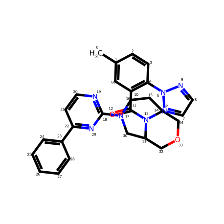 Cc1ccc(-n2nccn2)c(C(=O)N2C3CCN(c4nccc(-c5ccccc5)n4)CC2COC3)c1